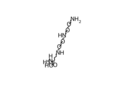 NCCOCCOCCNCCOCCOCCNCCCC[C@H](NS)C(=O)O